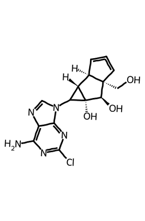 Nc1nc(Cl)nc2c1ncn2C1[C@@H]2[C@H]3C=C=C[C@@]3(CO)[C@@H](O)[C@@]12O